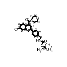 CC(C)(C)OC(=O)NCc1ccc(-c2cc(C(=O)N3CCOCC3)c3ccc(Cl)cc3n2)cc1